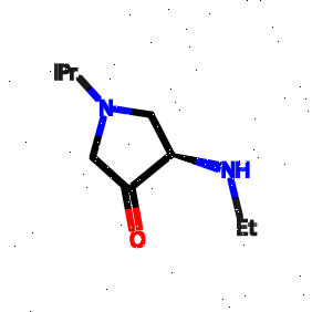 CCN[C@@H]1CN(C(C)C)CC1=O